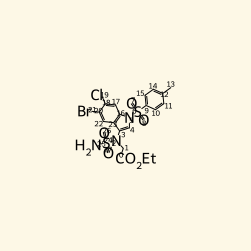 CCOC(=O)CN(c1cn(S(=O)(=O)c2ccc(C)cc2)c2cc(Cl)c(Br)cc12)S(N)(=O)=O